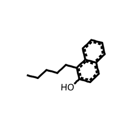 CCCCCc1c(O)ccc2ccccc12